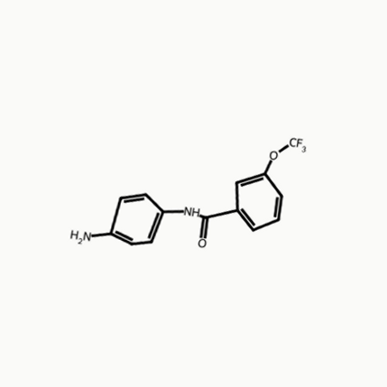 Nc1ccc(NC(=O)c2cccc(OC(F)(F)F)c2)cc1